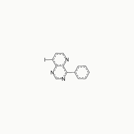 Ic1ccnc2c(-c3ccccc3)ncnc12